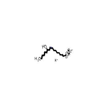 CCCCCC[C@@H](O)C/C=C\CCCCCCCC(=O)OS(=O)(=O)[O-].[K+]